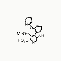 COCc1c(C(=O)O)ncc2[nH]c3cccc(Oc4ccccn4)c3c12